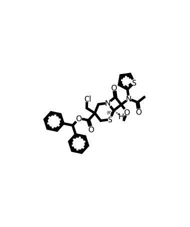 COC1(N(C(C)=O)c2cccs2)C(=O)N2CC(CCl)(C(=O)OC(c3ccccc3)c3ccccc3)CS[C@@H]21